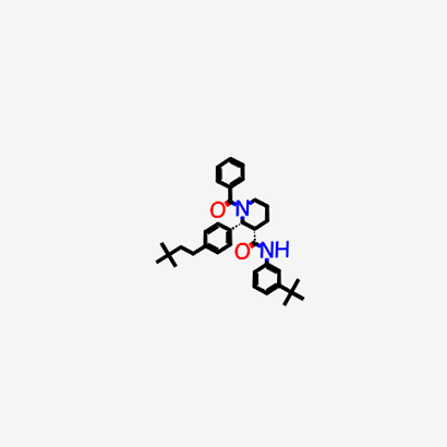 CC(C)(C)CCc1ccc([C@H]2[C@@H](C(=O)Nc3cccc(C(C)(C)C)c3)CCCN2C(=O)c2ccccc2)cc1